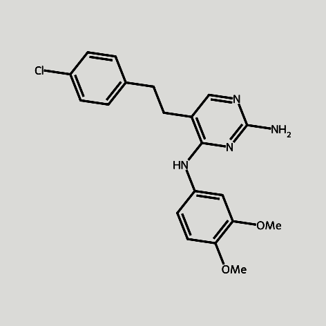 COc1ccc(Nc2nc(N)ncc2CCc2ccc(Cl)cc2)cc1OC